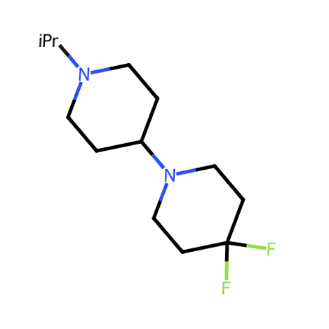 CC(C)N1CCC(N2CCC(F)(F)CC2)CC1